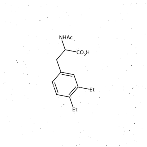 CCc1ccc(CC(NC(C)=O)C(=O)O)cc1CC